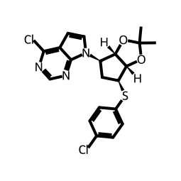 CC1(C)O[C@@H]2[C@H](O1)[C@@H](Sc1ccc(Cl)cc1)C[C@H]2n1ccc2c(Cl)ncnc21